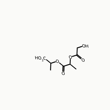 CC(OC(=O)C(C)OC(=O)CO)C(=O)O